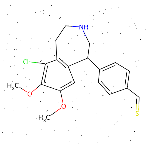 COc1cc2c(c(Cl)c1OC)CCNCC2c1ccc(C=S)cc1